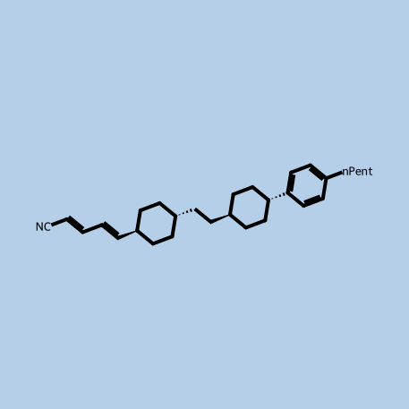 CCCCCc1ccc([C@H]2CC[C@H](CC[C@H]3CC[C@H](C=CC=CC#N)CC3)CC2)cc1